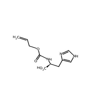 C=CCOC(=O)N[C@@H](Cc1c[nH]cn1)C(=O)O